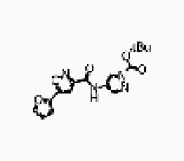 CC(C)(C)OC(=O)n1cc(NC(=O)c2cc(-c3ccco3)on2)cn1